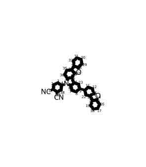 N#Cc1ccc(-n2c3ccc(-c4ccc5oc6ccccc6c5c4)cc3c3c4oc5ccccc5c4ccc32)cc1C#N